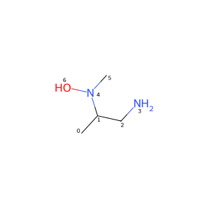 CC(CN)N(C)O